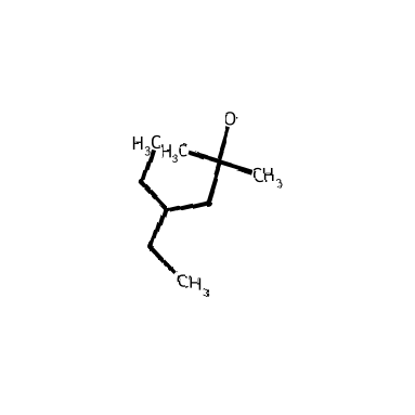 CCC(CC)CC(C)(C)[O]